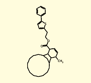 CC1C=CC(C(=O)OCCc2ccc(-c3ccccc3)s2)C2C3CCCCCCCCCCCC(C3)C12